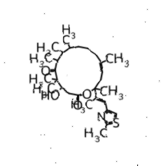 C/C1=C/CC(C)(/C(C)=C/c2csc(C)n2)OC(=O)CC(O)C(C)(C)C(=O)C(C)C(C)C(C)CCC1